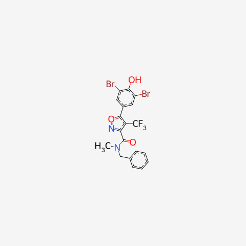 CN(Cc1ccccc1)C(=O)c1noc(-c2cc(Br)c(O)c(Br)c2)c1C(F)(F)F